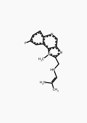 C/C(N)=C/NCc1nc2cnc3ccc(F)cc3c2n1C